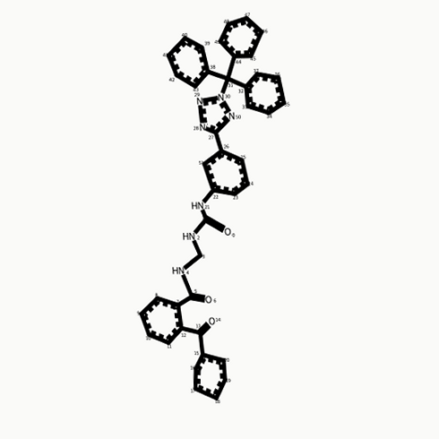 O=C(NCNC(=O)c1ccccc1C(=O)c1ccccc1)Nc1cccc(-c2nnn(C(c3ccccc3)(c3ccccc3)c3ccccc3)n2)c1